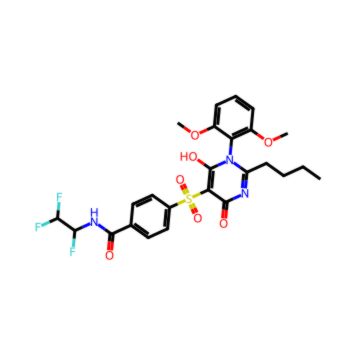 CCCCc1nc(=O)c(S(=O)(=O)c2ccc(C(=O)NC(F)C(F)F)cc2)c(O)n1-c1c(OC)cccc1OC